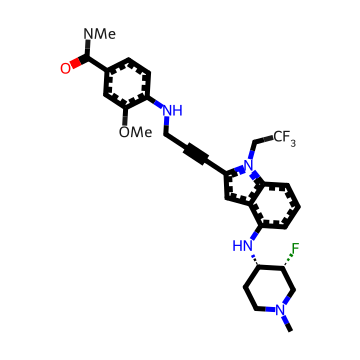 CNC(=O)c1ccc(NCC#Cc2cc3c(N[C@H]4CCN(C)C[C@H]4F)cccc3n2CC(F)(F)F)c(OC)c1